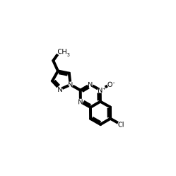 CCc1cnn(-c2nc3ccc(Cl)cc3[n+]([O-])n2)c1